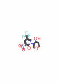 O=c1c([N+](=O)[O-])cc(C(F)(F)F)cn1C1COCC[C@H]1O